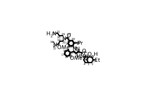 CCC1CC2CCC(NC(=O)c3cc(-c4c(OC)cccc4OC)n(-c4ccc(C(=O)N(CCCN)CCCN(C)C)cc4C(C)C)n3)(C(=O)O)C(C1)C2